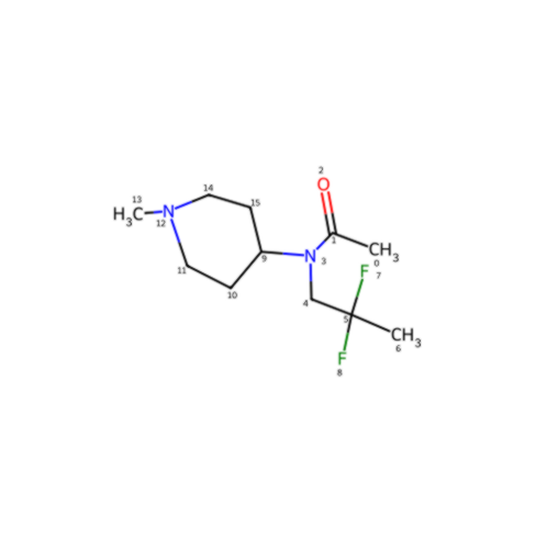 CC(=O)N(CC(C)(F)F)C1CCN(C)CC1